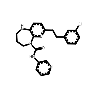 O=C(Nc1cccnc1)N1CCCNc2ccc(CCc3cccc(Cl)c3)nc21